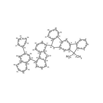 CC1(C)c2ccccc2-c2cc3c(cc21)CC(c1cccc2c1oc1cccc(-c4cc(-c5ccccc5)nc5ccccc45)c12)c1ccccc1-3